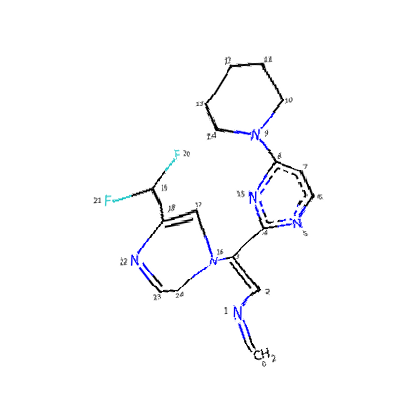 C=N/C=C(/c1nccc(N2CCCCC2)n1)N1C=C(C(F)F)N=CC1